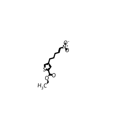 CCOC(=O)c1cc(CCCC=C[N+](=O)[O-])cs1